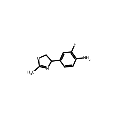 CC1=NC(c2ccc(N)c(F)c2)CO1